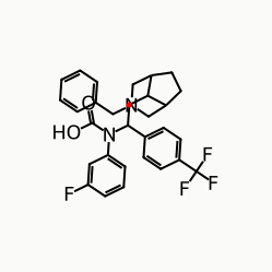 O=C(O)N(c1cccc(F)c1)C(CC1C2CCC1CN(Cc1ccccc1)C2)c1ccc(C(F)(F)F)cc1